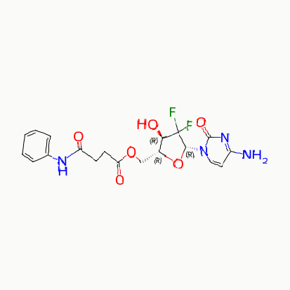 Nc1ccn([C@@H]2O[C@H](COC(=O)CCC(=O)Nc3ccccc3)[C@@H](O)C2(F)F)c(=O)n1